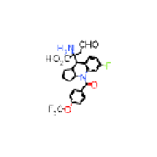 NC(CC=O)(C(=O)O)C1c2ccc(F)cc2N(C(=O)c2ccc(OC(F)(F)F)cc2)C2CCCC21